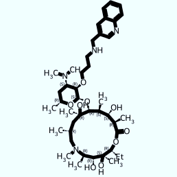 CC[C@H]1OC(=O)[C@H](C)[C@@H](O)[C@H](C)[C@@H](O[C@@H]2O[C@H](C)C[C@H](N(C)C)[C@H]2OCCCNCc2cnc3ccccc3c2)[C@](C)(O)C[C@@H](C)CN(C)[C@H](C)[C@@H](O)[C@]1(C)O